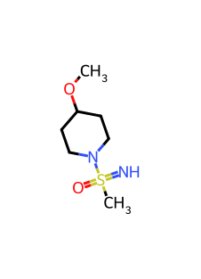 COC1CCN(S(C)(=N)=O)CC1